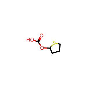 O=C(O)OC1CCCS1